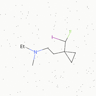 CCN(C)CCC1(C(F)I)CC1